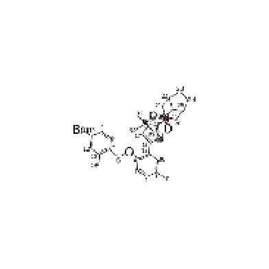 Cc1ccc(OCc2ccc(Br)cc2C)c(-c2csc(N3CC4CCC(C3)C4C(=O)OC(C)(C)C)n2)c1